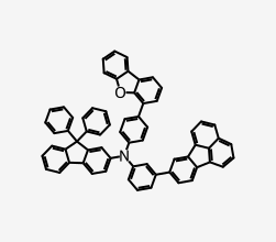 c1ccc(C2(c3ccccc3)c3ccccc3-c3ccc(N(c4ccc(-c5cccc6c5oc5ccccc56)cc4)c4cccc(-c5ccc6c(c5)-c5cccc7cccc-6c57)c4)cc32)cc1